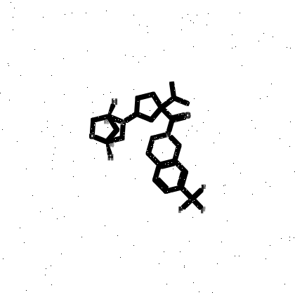 CC(C)C1(C(=O)N2CCc3ccc(C(F)(F)F)cc3C2)CCC(N2C[C@H]3C[C@@H]2CO3)C1